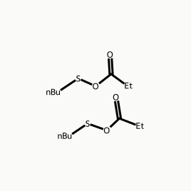 CCCCSOC(=O)CC.CCCCSOC(=O)CC